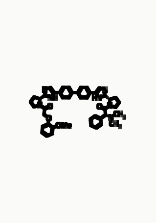 COc1ccccc1OCC(=O)N1CCC[C@H]1c1ncc(-c2ccc(-c3ccc(-c4cnc([C@@H]5CCCN5C(=O)[C@@H](c5ccccc5)N(C)C)[nH]4)cc3)cc2)[nH]1